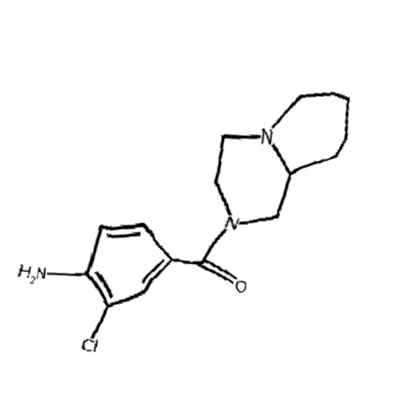 Nc1ccc(C(=O)N2CCN3CCCC3C2)cc1Cl